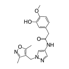 COc1ccc(CC(=O)Nc2cnn(Cc3c(C)noc3C)c2)cc1O